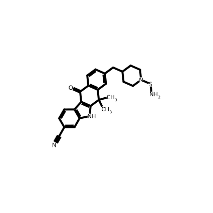 CC1(C)c2cc(CC3CCN(SN)CC3)ccc2C(=O)c2c1[nH]c1cc(C#N)ccc21